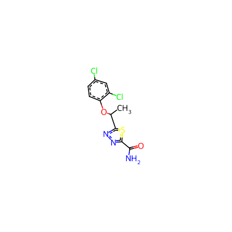 CC(Oc1ccc(Cl)cc1Cl)c1nnc(C(N)=O)s1